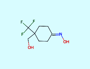 OCC1(C(F)(F)F)CCC(=NO)CC1